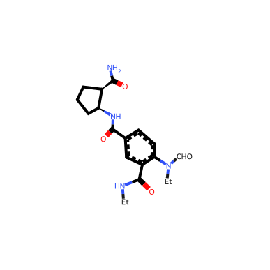 CCNC(=O)c1cc(C(=O)N[C@H]2CCC[C@H]2C(N)=O)ccc1N(C=O)CC